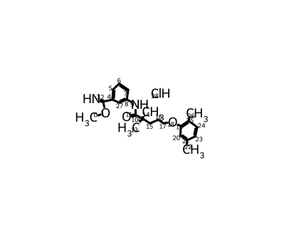 COC(=N)c1cccc(NC(=O)C(C)(C)CCCOc2cc(C)ccc2C)c1.Cl